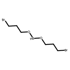 BrCCCOBOCCCBr